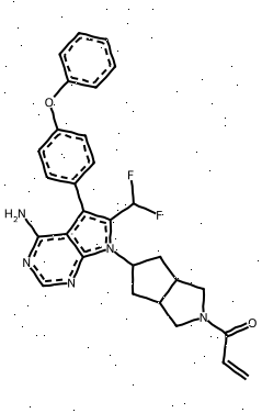 C=CC(=O)N1CC2CC(n3c(C(F)F)c(-c4ccc(Oc5ccccc5)cc4)c4c(N)ncnc43)CC2C1